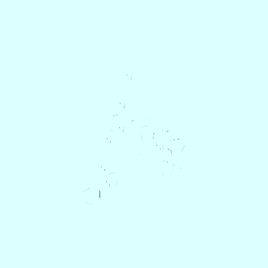 Nc1c(Br)cc(C[C@@H](NC(=O)N2CCC(N3CCc4ccccc4NC3=O)CC2)C(=O)N2CCC(N3CCCCC3)CC2)cc1Br.O=S(=O)(O)c1ccccc1